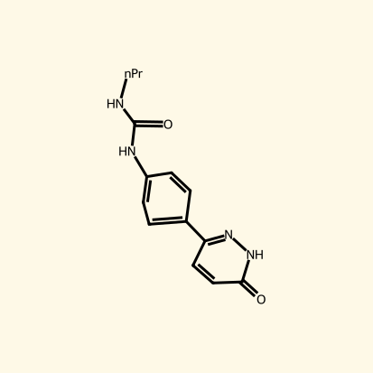 CCCNC(=O)Nc1ccc(-c2ccc(=O)[nH]n2)cc1